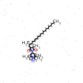 CCCCCCCCCCCCCCCCCCC(C)CC1C(=O)N(C2CC(C)(C)NC(C)(C)C2)C(=O)C1C